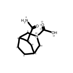 NC(=O)C1CC2CCC1CN(C(=O)O)C2